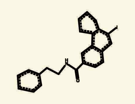 O=C(NCCc1ccccc1)c1ccc2cc(I)c3ccccc3c2c1